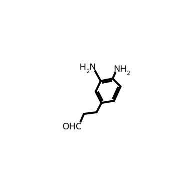 Nc1ccc(CCC=O)cc1N